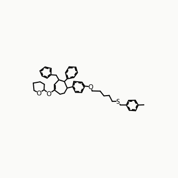 Cc1ccc(CSCCCCCOc2ccc(C3CCC(OC4CCCCO4)=CC(Cc4ccccc4)C3c3ccccc3)cc2)cc1